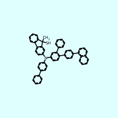 CC1(S)c2ccccc2-c2ccc(N(c3ccc(-c4ccccc4)cc3)c3ccc(-c4ccc(-c5cccc6ccccc56)cc4)c(-c4ccccc4)c3)cc21